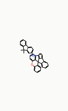 CC1(C)c2ccccc2-c2ccc(Nc3cccc4c3C3(c5ccccc5Oc5ccccc53)c3ccccc3-4)cc21